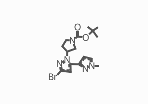 Cn1ccc(-c2cc(Br)nn2C2CCN(C(=O)OC(C)(C)C)C2)n1